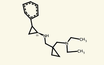 CCN(CC)CC1(CN[C@H]2CC2c2ccccc2)CC1